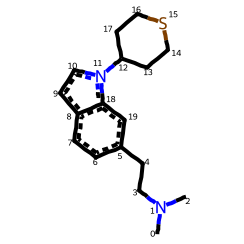 CN(C)CCc1ccc2ccn(C3CCSCC3)c2c1